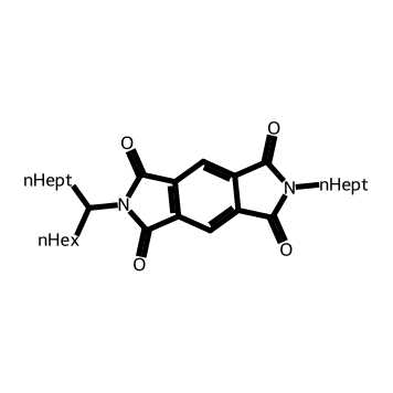 CCCCCCCC(CCCCCC)n1c(=O)c2cc3c(=O)n(CCCCCCC)c(=O)c3cc2c1=O